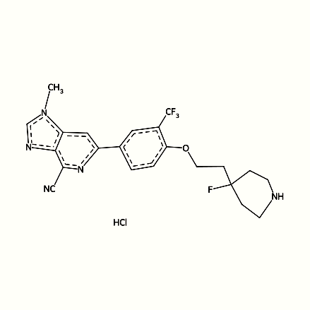 Cl.Cn1cnc2c(C#N)nc(-c3ccc(OCCC4(F)CCNCC4)c(C(F)(F)F)c3)cc21